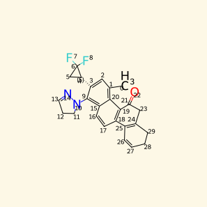 Cc1cc([C@@H]2CC2(F)F)c(N2CCC=N2)c2ccc3c(c12)C(=O)CC1=C3C=CCC1